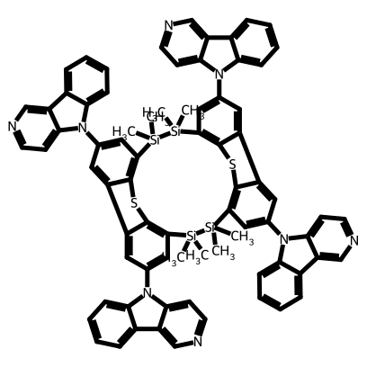 C[Si]1(C)c2cc(-n3c4ccccc4c4cnccc43)cc3c2sc2c(cc(-n4c5ccccc5c5cnccc54)cc23)[Si](C)(C)[Si](C)(C)c2cc(-n3c4ccccc4c4cnccc43)cc3c2sc2c(cc(-n4c5ccccc5c5cnccc54)cc23)[Si]1(C)C